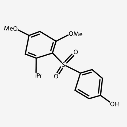 COc1cc(OC)c(S(=O)(=O)c2ccc(O)cc2)c(C(C)C)c1